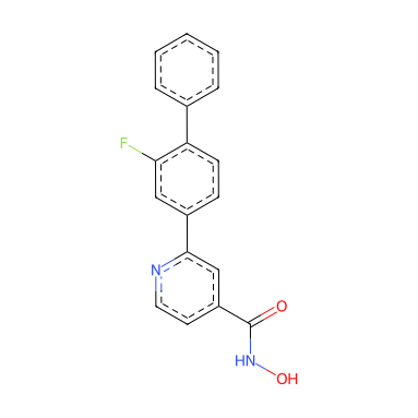 O=C(NO)c1ccnc(-c2ccc(-c3ccccc3)c(F)c2)c1